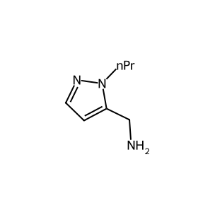 CCCn1nccc1CN